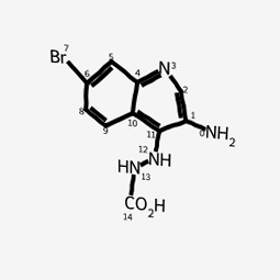 Nc1cnc2cc(Br)ccc2c1NNC(=O)O